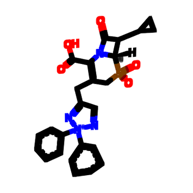 O=C(O)C1=C(CC2=N[N+](c3ccccc3)(c3ccccc3)N=C2)CS(=O)(=O)[C@H]2C(C3CC3)C(=O)N12